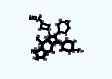 O=C(O)[C@H]1C[C@H](c2c(C3CCOCC3)n(-c3ccc(F)cc3)c3cc4cn[nH]c4c(F)c32)C1